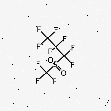 O=S(=O)(C(F)(F)F)C(F)(F)C(F)(F)C(F)(F)F